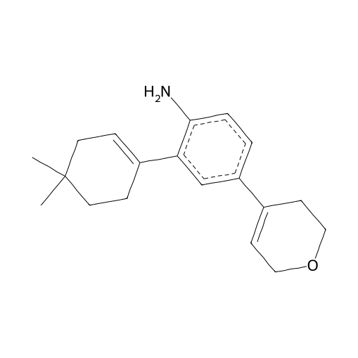 CC1(C)CC=C(c2cc(C3=CCOCC3)ccc2N)CC1